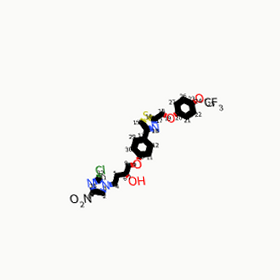 O=[N+]([O-])c1cn(CCC(O)COc2ccc(-c3csc(COc4ccc(OC(F)(F)F)cc4)n3)cc2)c(Cl)n1